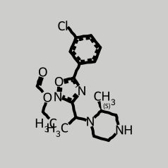 CC(c1noc(-c2cccc(Cl)c2)n1)N1CCNC[C@@H]1C.CCOC=O